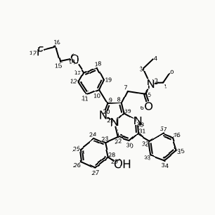 CCN(CC)C(=O)Cc1c(-c2ccc(OCCF)cc2)nn2c(-c3ccccc3O)cc(-c3ccccc3)nc12